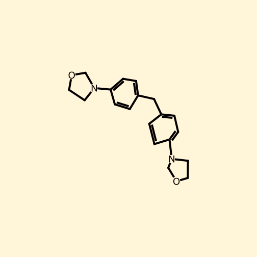 c1cc(N2CCOC2)ccc1Cc1ccc(N2CCOC2)cc1